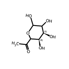 CC(=O)C1OC(O)C(O)[C@@H](O)[C@H]1O